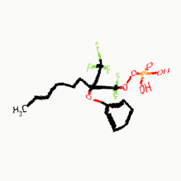 CCCCCCC(Oc1ccccc1)(C(F)(F)F)C(F)(F)OOP(=O)(O)O